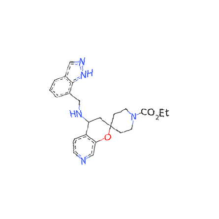 CCOC(=O)N1CCC2(CC1)CC(NCc1cccc3cn[nH]c13)c1ccncc1O2